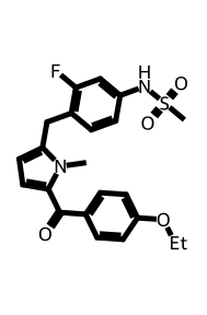 CCOc1ccc(C(=O)c2ccc(Cc3ccc(NS(C)(=O)=O)cc3F)n2C)cc1